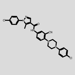 Cc1c(C(=O)Nc2ccc(N3CCN(c4ccc(Cl)cc4)CC3)c(C#N)c2)cnn1-c1ccc(Cl)cc1